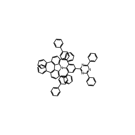 c1ccc(-c2ccc(-c3cc(-c4nc(-c5ccccc5)nc(-c5ccccc5)n4)cc(-c4ccc(-c5ccccc5)cc4)c3-n3c4c(-c5ccccc5)ccc(-c5ccccc5)c4c4c(-c5ccccc5)ccc(-c5ccccc5)c43)cc2)cc1